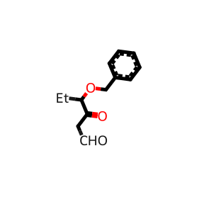 CCC(OCc1ccccc1)C(=O)CC=O